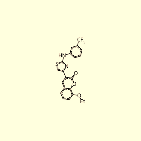 CCOc1cccc2cc(-c3csc(Nc4cccc(C(F)(F)F)c4)n3)c(=O)oc12